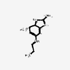 CCCNC1=CCC2NC(N)SC2=C1.Cl.Cl